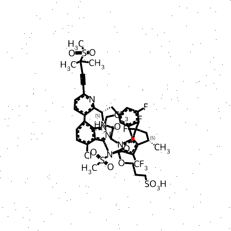 C[C@H]1CC(F)(F)c2c1c(C(F)(F)F)cn2CC(=O)N[C@@H](Cc1cc(F)cc(F)c1)c1nc(C#CC(C)(C)S(C)(=O)=O)ccc1-c1ccc(Cl)c2c(N(C(=O)OCCCS(=O)(=O)O)S(C)(=O)=O)nn(CC(F)(F)F)c12